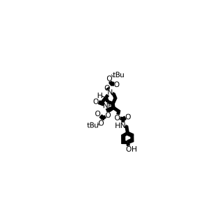 CC(C)(C)OC(=O)OC1=C(COC(=O)NCc2ccc(O)cc2)C2CCN(OC(=O)OC(C)(C)C)[C@@H]3C(=O)N1[C@H]23